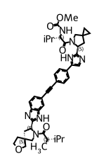 COC(=O)N[C@H](C(=O)N1CC2(CC2)C[C@H]1c1ncc(-c2ccc(C#Cc3ccc4nc([C@@H]5C[C@]6(CCOC6)CN5C(=O)[C@@H](C)C(C)C)[nH]c4c3)cc2)[nH]1)C(C)C